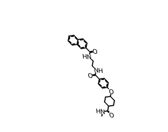 CNC(=O)C1CCC(Oc2ccc(C(=O)NCCNC(=O)c3ccc4ccccc4c3)cc2)CC1